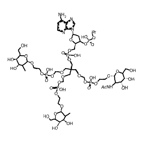 CC(=O)NC1[C@H](OCCOP(=O)(O)OCOCC(COCOP(=O)(O)OCCO[C@@H]2OC(CO)[C@H](O)[C@H](O)C2C)(COCOP(=O)(O)OCCO[C@@H]2OC(CO)[C@H](O)[C@H](O)C2C)COP(=O)(O)OC[C@H]2O[C@@H](n3cnc4c(N)ccnc43)CC2OP(=O)(O)OC(C)C)OC(CO)[C@H](O)[C@@H]1O